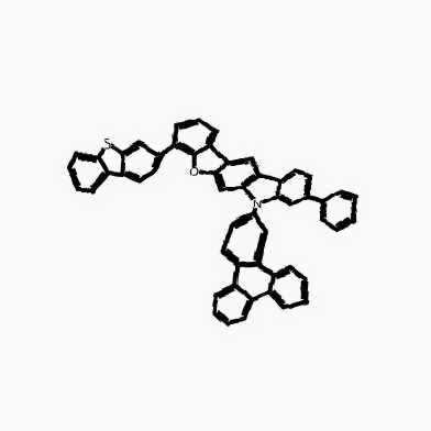 c1ccc(-c2ccc3c4cc5c(cc4n(-c4ccc6c7ccccc7c7ccccc7c6c4)c3c2)oc2c(-c3ccc4c(c3)sc3ccccc34)cccc25)cc1